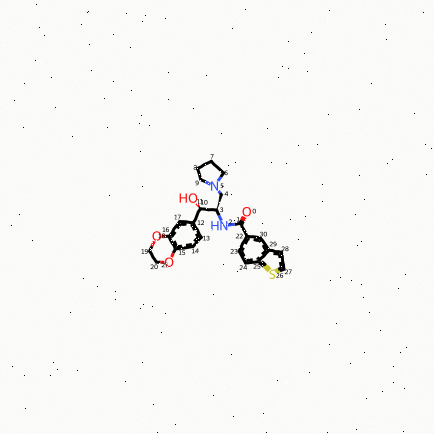 O=C(N[C@H](CN1CCCC1)[C@H](O)c1ccc2c(c1)OCCO2)c1ccc2sccc2c1